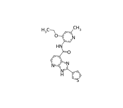 CCOc1cc(C)ncc1NC(=O)c1ccnc2[nH]c(-c3ccsc3)nc12